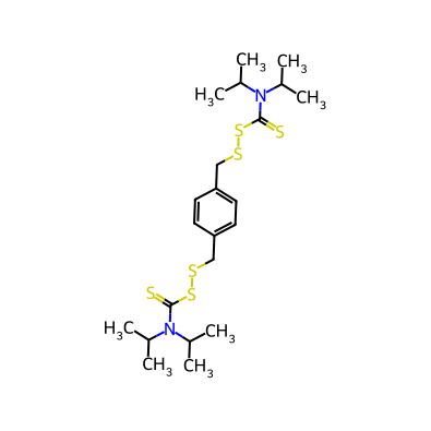 CC(C)N(C(=S)SSCc1ccc(CSSC(=S)N(C(C)C)C(C)C)cc1)C(C)C